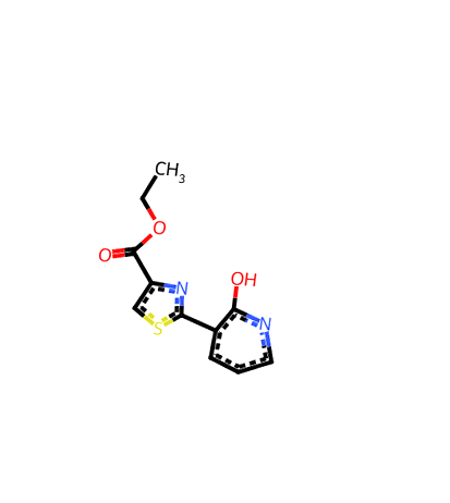 CCOC(=O)c1csc(-c2cccnc2O)n1